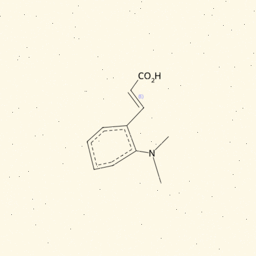 CN(C)c1ccccc1/C=C/C(=O)O